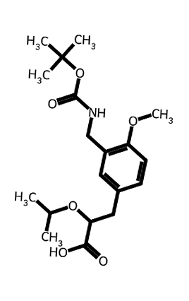 COc1ccc(CC(OC(C)C)C(=O)O)cc1CNC(=O)OC(C)(C)C